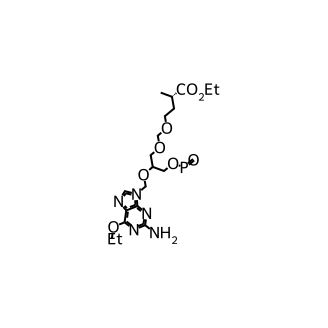 CCOC(=O)[C@@H](C)CCOCOCC(COP=O)OCn1cnc2c(OCC)nc(N)nc21